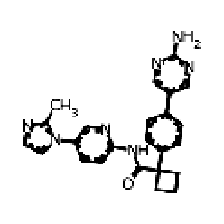 Cc1nccn1-c1ccc(NC(=O)C2(c3ccc(-c4cnc(N)nc4)cc3)CCC2)nc1